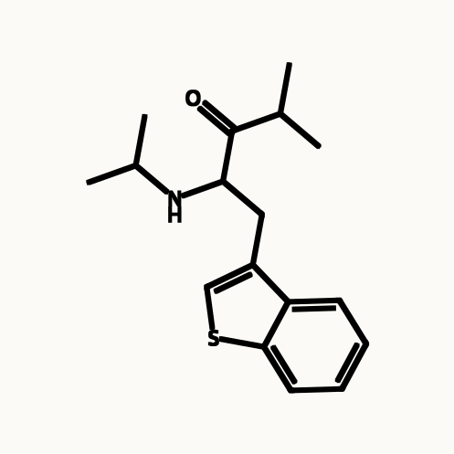 CC(C)NC(Cc1csc2ccccc12)C(=O)C(C)C